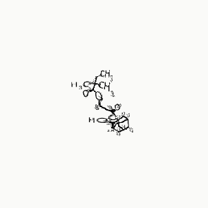 CCC(C)(C)C(=O)OCC(=O)OC12CC3CC(CC(C3)C1O)C2